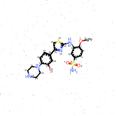 CC(C)Oc1ccc(S(N)(=O)=O)cc1Nc1nc(-c2ccc(N3CCNCC3)c(Br)c2)cs1